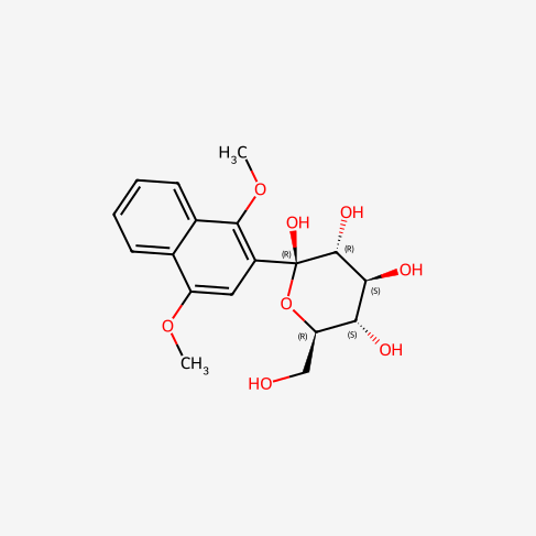 COc1cc([C@@]2(O)O[C@H](CO)[C@@H](O)[C@H](O)[C@H]2O)c(OC)c2ccccc12